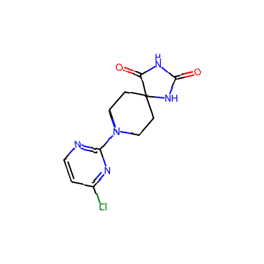 O=C1NC(=O)C2(CCN(c3nccc(Cl)n3)CC2)N1